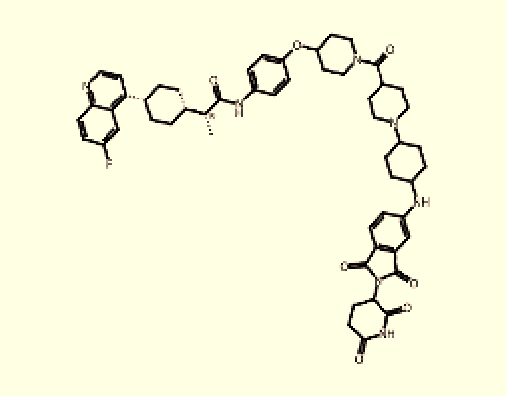 C[C@@H](C(=O)Nc1ccc(OC2CCN(C(=O)C3CCN(C4CCC(Nc5ccc6c(c5)C(=O)N(C5CCC(=O)NC5=O)C6=O)CC4)CC3)CC2)cc1)[C@H]1CC[C@@H](c2ccnc3ccc(F)cc32)CC1